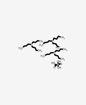 CCCCP(CCCC)CCCC.CCCCP(CCCC)CCCC.CCCCP(CCCC)CCCC.O=C(O)P(=O)(O)O